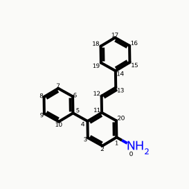 Nc1ccc(-c2ccccc2)c(C=Cc2ccccc2)c1